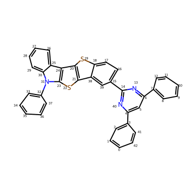 c1ccc(-c2cc(-c3ccccc3)nc(-c3ccc4sc5c(sc6c5c5ccccc5n6-c5ccccc5)c4c3)n2)cc1